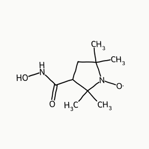 CC1(C)CC(C(=O)NO)C(C)(C)N1[O]